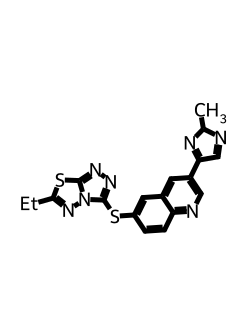 CCc1nn2c(Sc3ccc4ncc(C5=NC(C)N=C5)cc4c3)nnc2s1